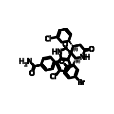 NC(=O)c1ccc(Oc2ccc(Br)cc2[C@H]2NC(=O)C[C@@H](C3C=CC=C(Cl)C3)[C@]23C(=O)Nc2cc(Cl)ccc23)cc1